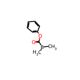 CB(C)C(=O)Oc1ccccc1